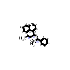 C/C=C/C(=N\C(=N/C)c1ccccc1)c1ccnc2ccccc12